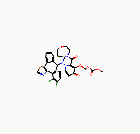 COC(=O)OCOc1c2n(ccc1=O)N(C1c3ccccc3-c3scnc3-c3c1ccc(F)c3F)C1CCOCCN1C2=O